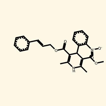 COC(=O)C1=C(C)NC(C)=C(C(=O)OCC=Cc2ccccc2)C1c1ccccc1[N+](=O)[O-]